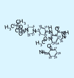 COc1cc(N2CCN(C(=O)OC(C)(C)C)CC2)ccc1Nc1nc(Oc2ccccc2C#N)cc2cn[nH]c(=O)c12